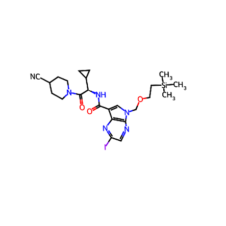 C[Si](C)(C)CCOCn1cc(C(=O)N[C@@H](C(=O)N2CCC(C#N)CC2)C2CC2)c2nc(I)cnc21